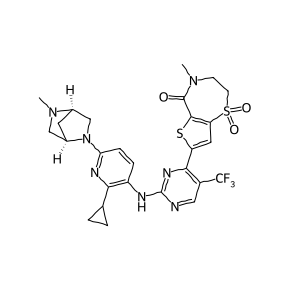 CN1CCS(=O)(=O)c2cc(-c3nc(Nc4ccc(N5C[C@H]6C[C@@H]5CN6C)nc4C4CC4)ncc3C(F)(F)F)sc2C1=O